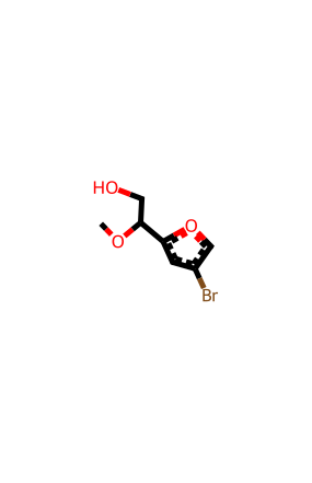 COC(CO)c1cc(Br)co1